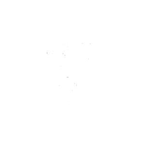 CON=C(C(=O)O)c1ccccc1COc1nc(C(F)(F)F)sc1C